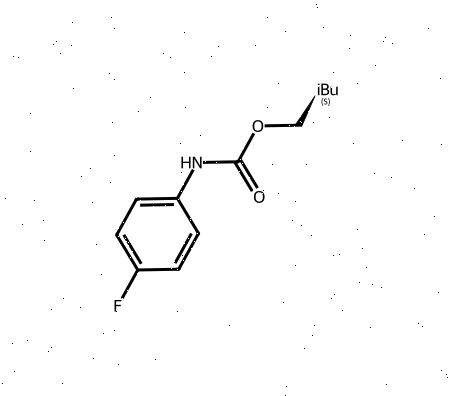 CC[C@H](C)COC(=O)Nc1ccc(F)cc1